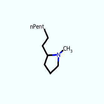 CCCCCCCC1CCCN1C